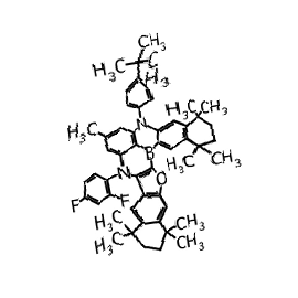 Cc1cc2c3c(c1)N(c1ccc(F)cc1F)c1c(oc4cc5c(cc14)C(C)(C)CCC5(C)C)B3c1cc3c(cc1N2c1ccc(C(C)(C)C)cc1)C(C)(C)CCC3(C)C